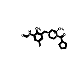 Cc1c(CN2CCN(C(=O)C3CCCC3)[C@@H](C)C2)cc(F)cc1NC=O